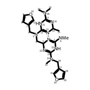 CNC1=NC(CN(Cc2ccoc2)C2=NC(C)N=C(N(C)C)N2)N=C(N(C)Cc2ccoc2)N1